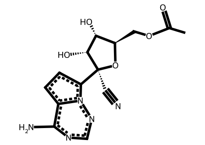 CC(=O)OC[C@H]1O[C@@](C#N)(c2ccc3c(N)ncnn23)[C@H](O)[C@@H]1O